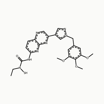 CCN(S)C(=O)Nc1ccc2ncc(-c3cnn(Cc4cc(OC)c(OC)c(OC)c4)c3)nc2n1